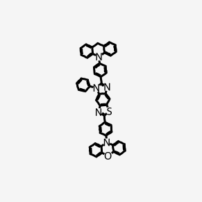 c1ccc(-n2c(-c3ccc(N4c5ccccc5Cc5ccccc54)cc3)nc3cc4sc(-c5ccc(N6c7ccccc7Oc7ccccc76)cc5)nc4cc32)cc1